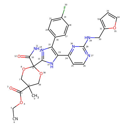 CC1(C(=O)OCC#N)COC(C(N)=O)(c2nc(-c3ccc(F)cc3)c(-c3ccnc(NCc4ccco4)n3)[nH]2)OC1